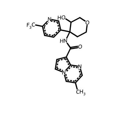 Cc1cnc2c(C(=O)NC3(c4ccc(C(F)(F)F)nc4)CCOCC3O)ccn2c1